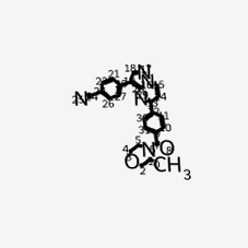 CC1COCCN1C(=O)c1ccc(-c2ccn3ncc(-c4ccc(C#N)cc4)c3n2)cc1